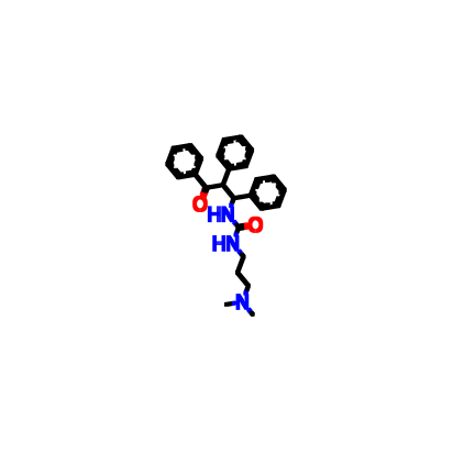 CN(C)CCCNC(=O)NC(c1ccccc1)C(C(=O)c1ccccc1)c1ccccc1